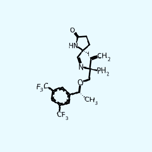 C=C[C@](P)(CO[C@H](C)c1cc(C(F)(F)F)cc(C(F)(F)F)c1)/N=C\[C@]1(I)CCC(=O)N1